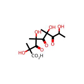 CC(O)C(=O)C(C)(O)C(=O)C(C)(O)C(=O)C(C)(O)C(=O)O